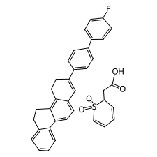 Fc1ccc(-c2ccc(C3=Cc4ccc5c(c4CC3)CCc3ccccc3-5)cc2)cc1.O=C(O)CC1C=CC=CS1(=O)=O